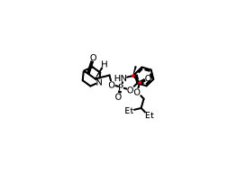 CCC(CC)COC(=O)[C@H](C)NP(=O)(OC[C@H]1C(=O)C2CCN1CC2)Oc1ccccc1